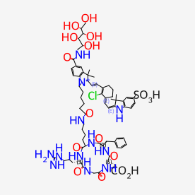 CC1(C)C(/C=C/C2=C(Cl)C(=C/C=C3/Nc4ccc(S(=O)(=O)O)cc4C3(C)C)/CCC2)=[N+](CCCCCC(=O)NCCCCC2NC(=O)[C@@H](Cc3ccccc3)NC(=O)[C@H](CC(=O)O)NC(=O)CNC(=O)[C@H](CCCNC(=N)N)NC2=O)c2ccc(C(=O)NCC(O)C(O)C(O)C(O)CO)cc21